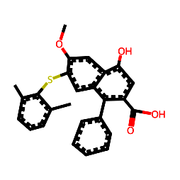 COc1cc2c(O)cc(C(=O)O)c(-c3ccccc3)c2cc1Sc1c(C)cccc1C